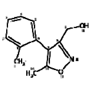 [CH2]c1ccccc1-c1c(CO)noc1C